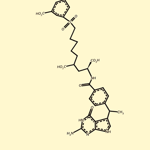 CC(c1ccc(C(=O)N[C@@H](CC(CCCCCS(=O)(=O)c2cccc(C(=O)O)c2)C(=O)O)C(=O)O)cc1)c1c[nH]c2nc(N)[nH]c(=O)c12